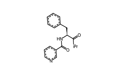 CC(C)C(=O)[C@H](Cc1ccccc1)NC(=O)c1cccnc1